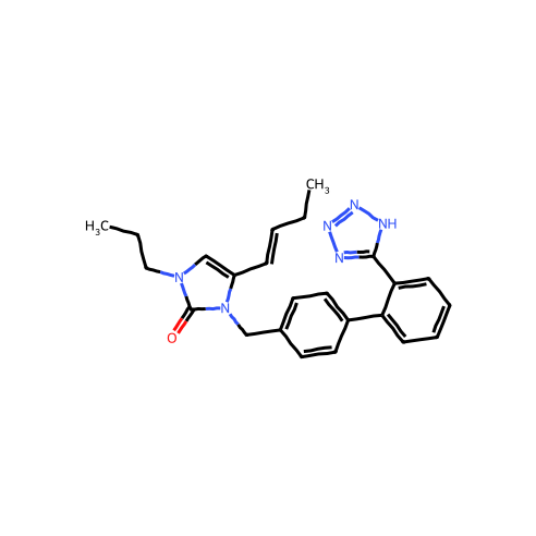 CCC=Cc1cn(CCC)c(=O)n1Cc1ccc(-c2ccccc2-c2nnn[nH]2)cc1